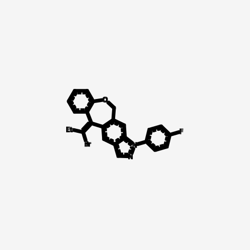 CC/C(Br)=C1/c2cc3cnn(-c4ccc(F)cc4)c3cc2COc2ccccc21